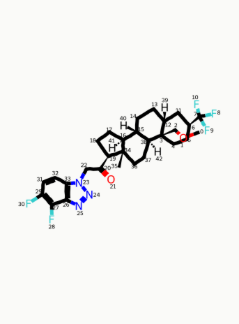 COC[C@]12CC[C@H](C(F)(F)F)C[C@H]1CC[C@H]1[C@@H]3CC[C@H](C(=O)Cn4nnc5c(F)c(F)ccc54)[C@@]3(C)CC[C@@H]12